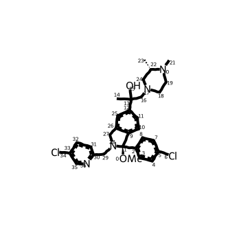 CO[C@]1(c2ccc(Cl)cc2)c2ccc(C(C)(O)CN3CCN(C)[C@@H](C)C3)cc2CN1Cc1ccc(Cl)cn1